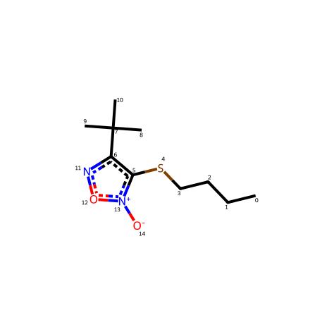 CCCCSc1c(C(C)(C)C)no[n+]1[O-]